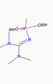 CO[PH](C)(N=C(N(C)C)N(C)C)OC